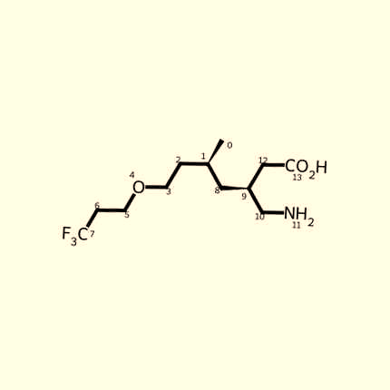 C[C@H](CCOCCC(F)(F)F)C[C@H](CN)CC(=O)O